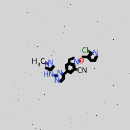 Cn1cc(Nc2nccc(-c3cc(C#N)c4c(c3)CCN4OCc3cccnc3Cl)n2)cn1